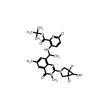 Cc1cc(C(C)Nc2ccc(Cl)nc2C(=O)OC(C)(C)C)c2nc(N3C[C@@H]4C(O)[C@@H]4C3)n(C)c(=O)c2c1